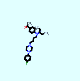 C/C=C(/CC)N(CCCCN1CCN(c2ccc(F)cc2)CC1)c1ccc(C(C)=O)cc1